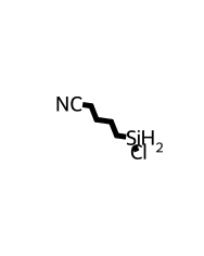 N#CCCCC[SiH2]Cl